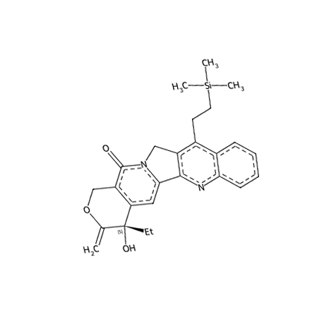 C=C1OCc2c(cc3n(c2=O)Cc2c-3nc3ccccc3c2CC[Si](C)(C)C)[C@@]1(O)CC